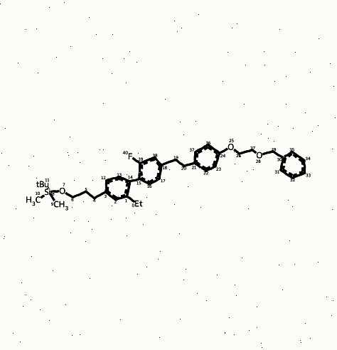 CCc1cc(CCCO[Si](C)(C)C(C)(C)C)ccc1-c1ccc(CCc2ccc(OCCOCc3ccccc3)cc2)cc1F